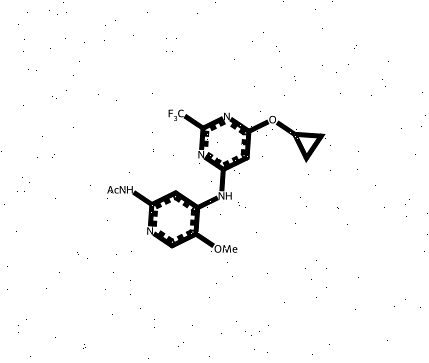 COc1cnc(NC(C)=O)cc1Nc1cc(OC2CC2)nc(C(F)(F)F)n1